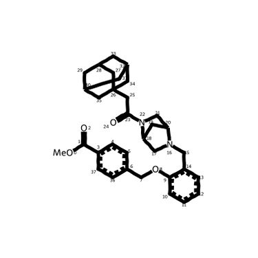 COC(=O)c1ccc(COc2ccccc2CN2CC3CC2CN3C(=O)CC23CC4CC(CC(C4)C2)C3)cc1